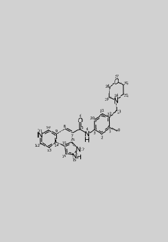 Cc1cc(NC(=O)/C=C/c2cnccc2-c2cn[nH]c2)ccc1CN1CCOCC1